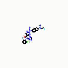 O=c1c2cnc(Nc3ccc4c(c3)CC(NCCF)C4)nc2n2ccnc2n1-c1c(F)cccc1Cl